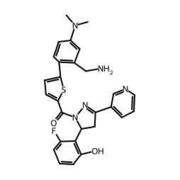 CN(C)c1ccc(-c2ccc(C(=O)N3N=C(c4cccnc4)CC3c3c(O)cccc3F)s2)c(CN)c1